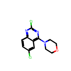 Clc1ccc2nc(Cl)nc(N3CCOCC3)c2c1